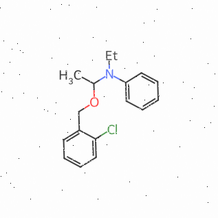 CCN(c1ccccc1)C(C)OCc1ccccc1Cl